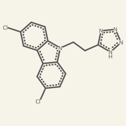 Clc1ccc2c(c1)c1cc(Cl)ccc1n2CCc1nnn[nH]1